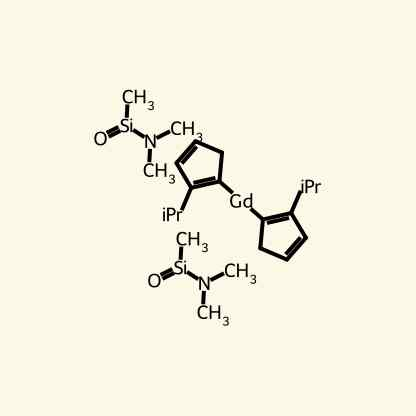 CC(C)C1=[C]([Gd][C]2=C(C(C)C)C=CC2)CC=C1.CN(C)[Si](C)=O.CN(C)[Si](C)=O